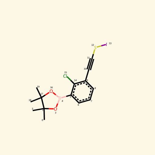 CC1(C)OB(c2cccc(C#CSI)c2Cl)OC1(C)C